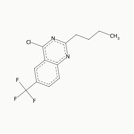 CCCCc1nc(Cl)c2cc(C(F)(F)F)ccc2n1